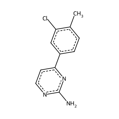 Cc1ccc(-c2ccnc(N)n2)cc1Cl